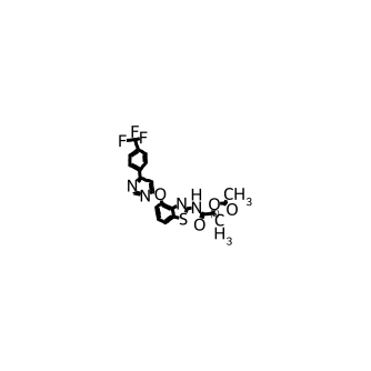 CC(=O)O[C@@H](C)C(=O)Nc1nc2c(Oc3cc(-c4ccc(C(F)(F)F)cc4)ncn3)cccc2s1